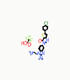 CN(C)CCn1c(N(C)C)nc2cc(-n3cnc4cc(-c5ccc(Cl)cc5)sc4c3=O)ccc21.O=C(O)C(F)(F)F